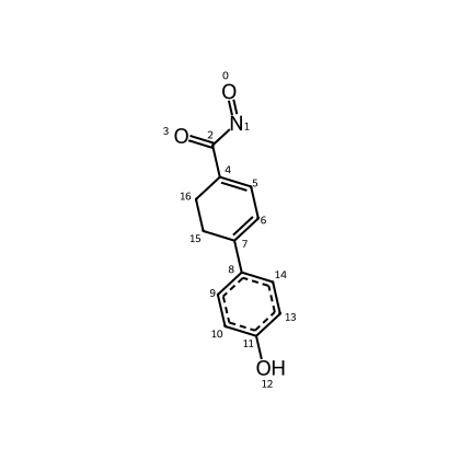 O=NC(=O)C1=CC=C(c2ccc(O)cc2)CC1